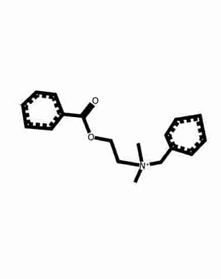 C[N+](C)(CCOC(=O)c1cc[c]cc1)Cc1ccccc1